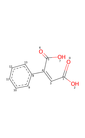 O=C(O)/C=C(\C(=O)O)c1ccccc1